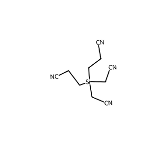 N#CCC[Si](CC#N)(CC#N)CCC#N